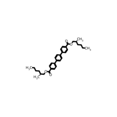 CCCC[C@H](C)COC(=O)c1ccc(-c2ccc(-c3ccc(C(=O)OC[C@@H](C)CCCC)cc3)cc2)cc1